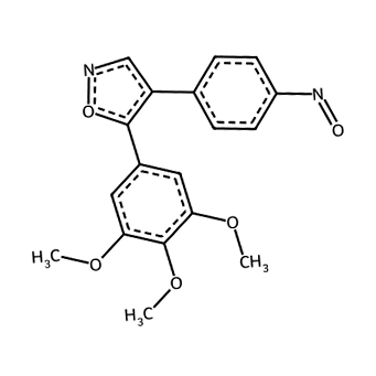 COc1cc(-c2oncc2-c2ccc(N=O)cc2)cc(OC)c1OC